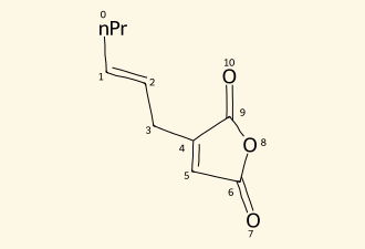 CCCC=CCC1=CC(=O)OC1=O